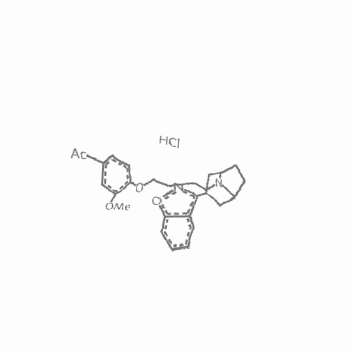 COc1cc(C(C)=O)ccc1OCCCCN1C2CCC1CC(c1noc3ccccc13)C2.Cl